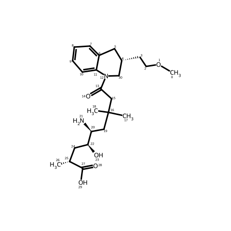 COCC[C@H]1Cc2ccccc2N(C(=O)CC(C)(C)C[C@H](N)[C@@H](O)C[C@@H](C)C(=O)O)C1